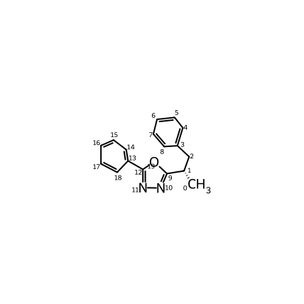 C[C@@H](Cc1ccccc1)c1nnc(-c2ccccc2)o1